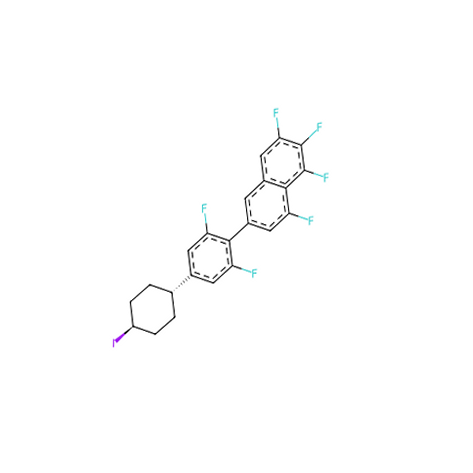 Fc1cc2cc(-c3c(F)cc([C@H]4CC[C@H](I)CC4)cc3F)cc(F)c2c(F)c1F